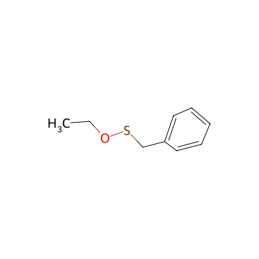 CCOSCc1ccccc1